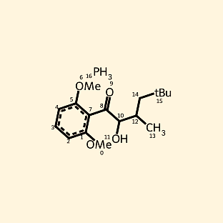 COc1cccc(OC)c1C(=O)C(O)C(C)CC(C)(C)C.P